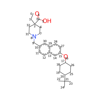 CCC1(C(=O)O)CCN(Cc2ccc3cc(OC4CCC(C(C)(C)C)CC4)ccc3c2)CC1